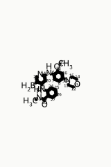 Bc1cnc(Nc2ccc(N3CCOCC3)cc2OC)cc1Nc1ccccc1C(=O)NC